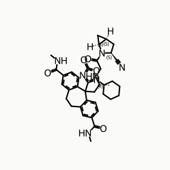 CNC(=O)c1ccc2c(c1)CCc1cc(C(=O)NC)ccc1C2(C[C@@H](C)NCC(=O)N1[C@H](C#N)C[C@@H]2C[C@@H]21)c1nc(=O)on1C1CCCCC1